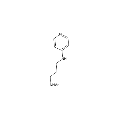 CC(=O)NCCCNc1ccncc1